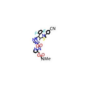 CNCC(=O)OCc1cccnc1N(C)C(=O)OC(C)[N+]1(C)C=NN(CC(c2cc(F)ccc2F)C(C)c2nc(-c3ccc(C#N)cc3)cs2)C1